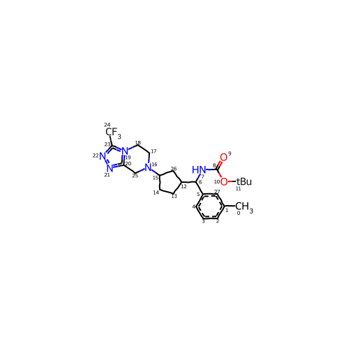 Cc1cccc(C(NC(=O)OC(C)(C)C)C2CCC(N3CCn4c(nnc4C(F)(F)F)C3)C2)c1